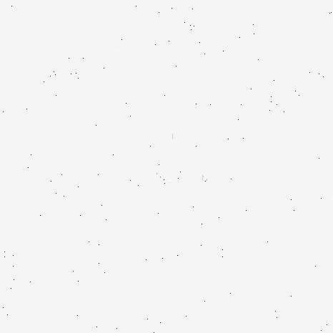 O=C(NCc1cccs1)c1cnc2cccc(C(F)(F)F)c2c1